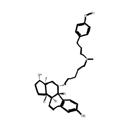 CCOc1ccc(CCCN(C)CCCCC[C@H]2C[C@]3(C)[C@@H](O)CC[C@H]3[C@@H]3CCc4cc(O)ccc4[C@@H]23)cc1